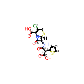 O=C(O)C1=C(Cl)CS[C@@H]2C(NC(=O)C(C(=O)O)c3cccs3)C(=O)N12